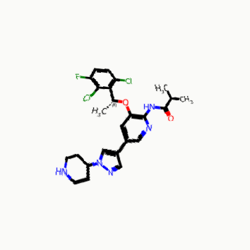 CC(C)C(=O)Nc1ncc(-c2cnn(C3CCNCC3)c2)cc1O[C@H](C)c1c(Cl)ccc(F)c1Cl